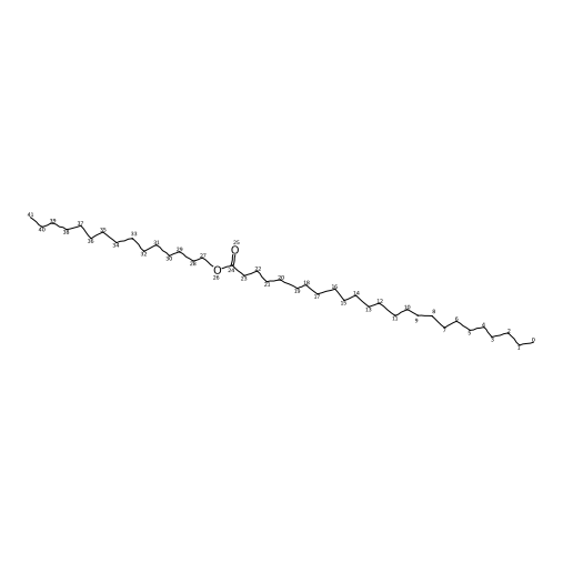 CCCCCCCCCCCCCCCCCCCCCCCCC(=O)OCCCCCCCCCCCCCCC